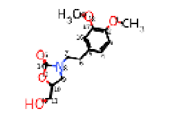 COc1ccc(CCN2CC(CO)OC2=O)cc1OC